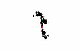 CCCS(=O)(=O)Nc1ccc(CCOCCCCCCN(CC(=O)c2ccc(O)c(CO)c2)Cc2ccccc2)cc1